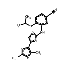 Cc1nc(C)c(-c2csc(Nc3cc(C#N)ccc3OC(C)C)n2)s1